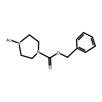 [CH2]C(=O)N1CCN(C(=O)OCc2ccccc2)CC1